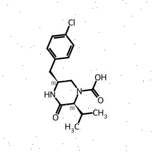 CC(C)[C@H]1C(=O)N[C@@H](Cc2ccc(Cl)cc2)CN1C(=O)O